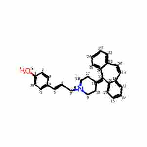 Oc1ccc(C=CCN2CCC(=C3c4ccccc4C=Cc4ccccc43)CC2)cc1